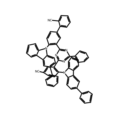 N#Cc1ccc(-n2c3ccccc3c3cc(-c4ccccc4)ccc32)c(-c2nc(-c3ccccc3)nc(-c3cc(-c4ccccc4C#N)ccc3-n3c4ccccc4c4cc(-c5ccccc5)ccc43)n2)c1